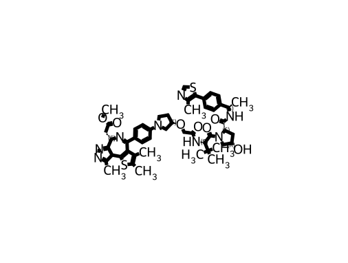 COC(=O)C[C@@H]1N=C(c2ccc(N3CC[C@H](OCC(=O)N[C@H](C(=O)N4C[C@H](O)C[C@H]4C(=O)N[C@@H](C)c4ccc(-c5scnc5C)cc4)C(C)(C)C)C3)cc2)c2c(sc(C)c2C)C2C(C)=NN=C21